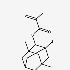 C=C(C)C(=O)OC1C2(C)CC3CC(C)(C2)CC1(I)C3